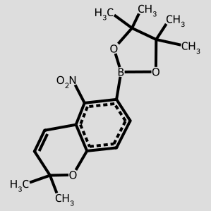 CC1(C)C=Cc2c(ccc(B3OC(C)(C)C(C)(C)O3)c2[N+](=O)[O-])O1